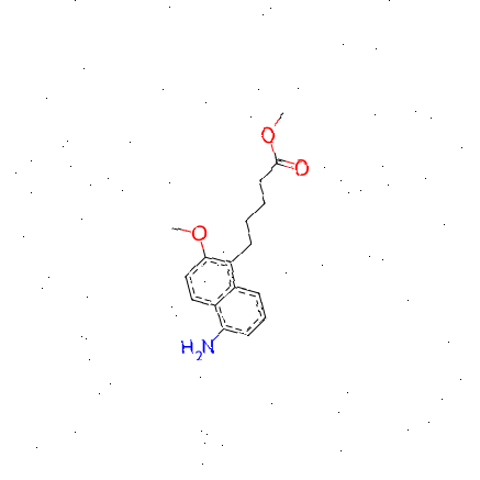 COC(=O)CCCCc1c(OC)ccc2c(N)cccc12